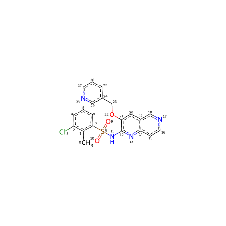 Cc1c(Cl)cccc1S(=O)(=O)Nc1nc2ccncc2cc1OCc1cccnc1